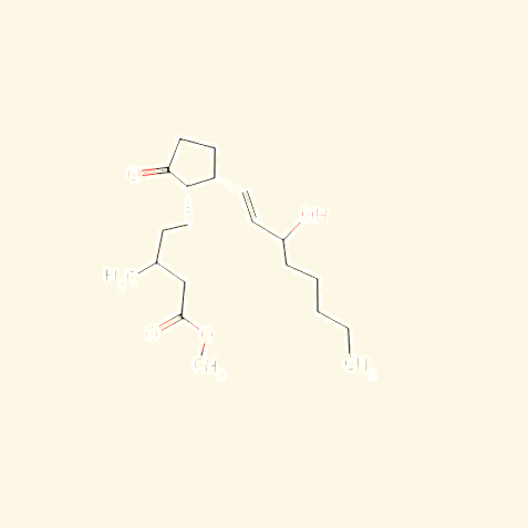 CCCCCC(O)C=C[C@H]1CCC(=O)[C@H]1CCC(C)CC(=O)OC